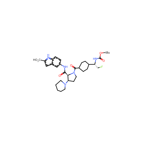 CC(C)(C)OC(=O)N[C@H](CF)C1CCC(C(=O)N2CC[C@@H](N3CCCCC3)[C@H]2C(=O)Nc2ccc3[nH]c(C(=O)O)cc3c2)CC1